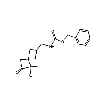 O=C(NCC1CC2(CC(=O)C2(Cl)Cl)C1)OCc1ccccc1